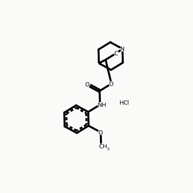 COc1ccccc1NC(=O)OC1CN2CCC1CC2.Cl